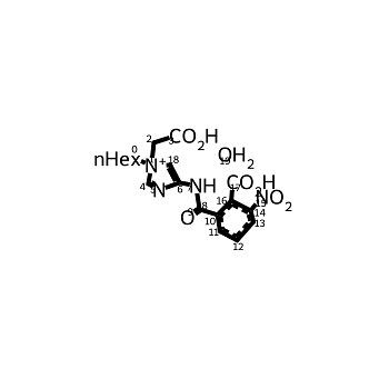 CCCCCC[N+]1(CC(=O)O)C=NC(NC(=O)c2cccc([N+](=O)[O-])c2C(=O)O)=C1.O